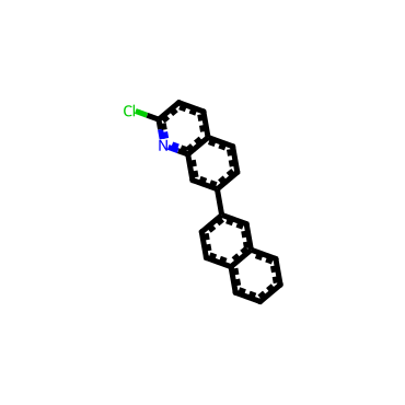 Clc1ccc2ccc(-c3ccc4ccccc4c3)cc2n1